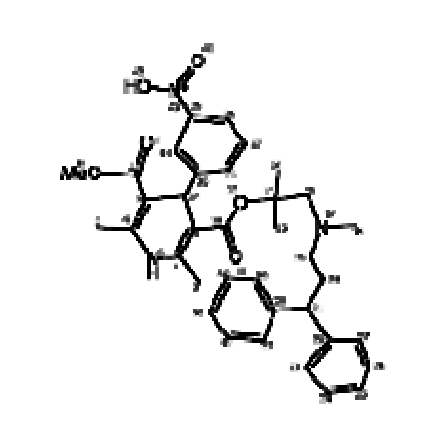 COC(=O)C1=C(C)NC(C)=C(C(=O)OC(C)(C)CN(C)CCC(c2ccccc2)c2ccccc2)C1c1cccc([N+](=O)O)c1